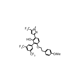 COc1ccc(CCOc2ccc(-c3cc(C(F)(F)F)n(C)n3)c(O)c2-c2cc(C(F)(F)F)cc(C(F)(F)F)c2)cc1